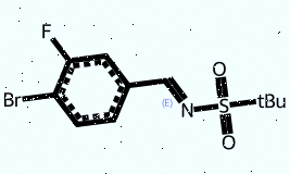 CC(C)(C)S(=O)(=O)/N=C/c1ccc(Br)c(F)c1